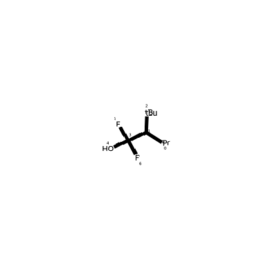 CC(C)C(C(C)(C)C)C(O)(F)F